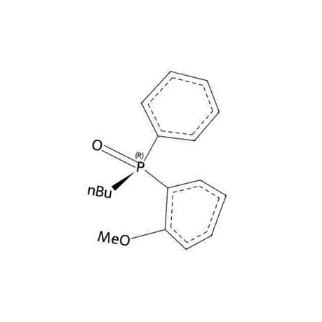 CCCC[P@@](=O)(c1ccccc1)c1ccccc1OC